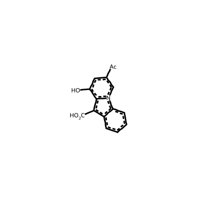 CC(=O)c1cc(O)c2c(C(=O)O)c3ccccc3n2c1